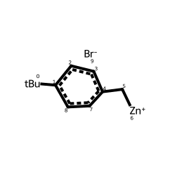 CC(C)(C)c1ccc([CH2][Zn+])cc1.[Br-]